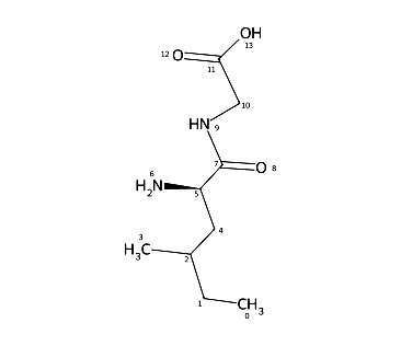 CCC(C)C[C@@H](N)C(=O)NCC(=O)O